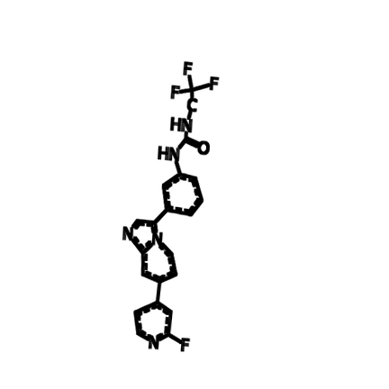 O=C(NCC(F)(F)F)Nc1cccc(-c2cnc3cc(-c4ccnc(F)c4)ccn23)c1